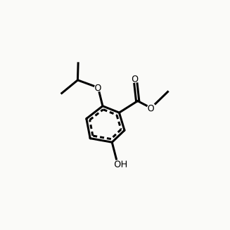 COC(=O)c1cc(O)ccc1OC(C)C